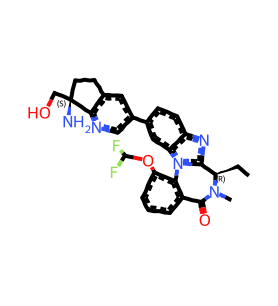 CC[C@@H]1c2nc3ccc(-c4cnc5c(c4)CC[C@@]5(N)CO)cc3n2-c2c(OC(F)F)cccc2C(=O)N1C